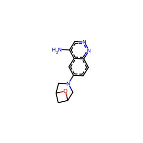 Nc1cnnc2ccc(N3CC4CC(C3)O4)cc12